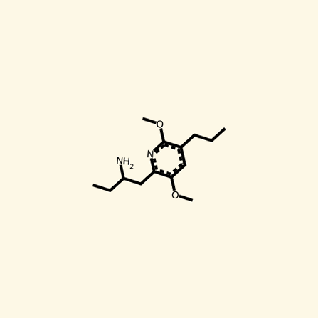 CCCc1cc(OC)c(CC(N)CC)nc1OC